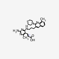 Cc1nc(N)nc(NCCCc2cc3cccc(C)c3nc2N2CCSCC2)c1/C=C/C(=O)O